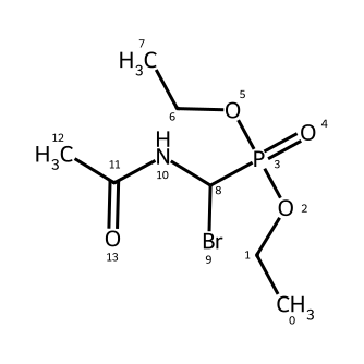 CCOP(=O)(OCC)C(Br)NC(C)=O